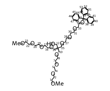 COCCOCCOCCOCC(CO)(COCCOCCOCCOC)COCCOCCOCCOC(c1ccccc1)(c1ccccc1)c1ccccc1